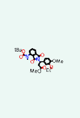 CCOc1cc(C(CC(=O)OC)N2C(=O)c3cccc(N(C)C(=O)OC(C)(C)C)c3C2=O)ccc1OC